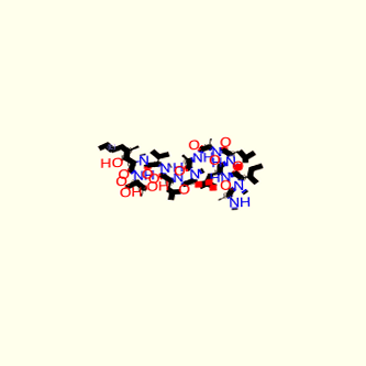 C/C=C/C[C@@H](C)[C@@H](O)[C@@H](C(=O)N[C@H](C(=O)O)[C@@H](C)O)N(C)C(=O)[C@H](C(C)C)N(C)C(=O)[C@H](CC(C)C)NC(=O)[C@H](CC(C)C)N(C)C(=O)[C@@H](C)NC(=O)[C@H](C)NC(=O)[C@H](CC(C)C)N(C)C(=O)[C@H](CC(C)C)NC(=O)[C@H](C(C)CC)N(C)C(=O)[C@@H](C)NC